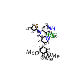 COc1cc(-c2cncc(CN(c3cc(C)cs3)C3CCNCC3)c2)cc(OC)c1OC.Cl.Cl